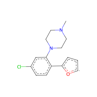 CN1CCN(c2cc(Cl)ccc2-c2cc[c]o2)CC1